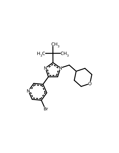 CC(C)(C)c1nc(-c2cncc(Br)c2)cn1CC1CCOCC1